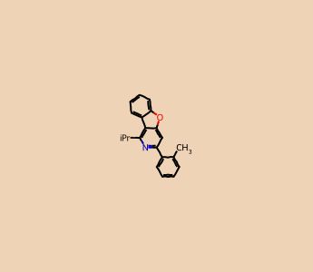 Cc1ccccc1-c1cc2oc3ccccc3c2c(C(C)C)n1